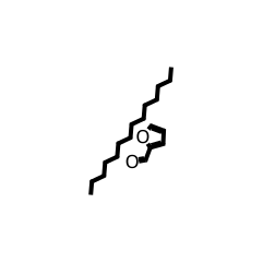 CCCCCCCCCCCCCC.O=Cc1ccco1